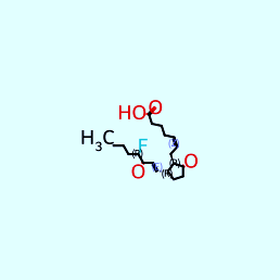 CCCC[C@@H](F)C(=O)/C=C/[C@H]1CCC(=O)[C@@H]1C/C=C\CCCC(=O)O